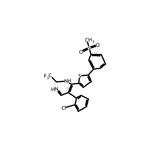 CS(=O)(=O)c1cccc(-c2ccc(/C(NCC(F)(F)F)=C(/C=N)c3ccccc3Cl)s2)c1